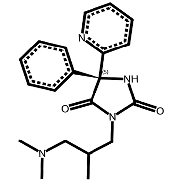 CC(CN(C)C)CN1C(=O)N[C@@](c2ccccc2)(c2ccccn2)C1=O